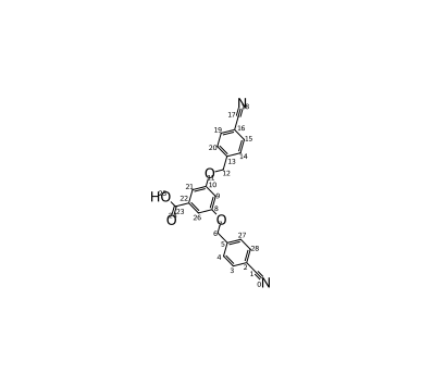 N#Cc1ccc(COc2cc(OCc3ccc(C#N)cc3)cc(C(=O)O)c2)cc1